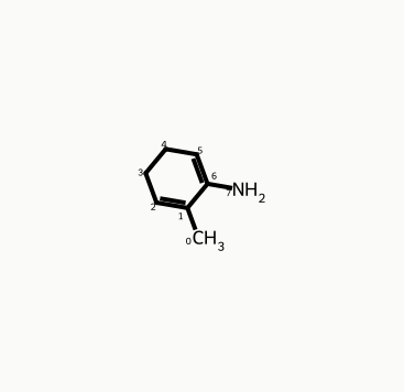 CC1=CCCC=C1N